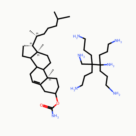 CC(C)CCC[C@@H](C)[C@H]1CCC2C3CC=C4CC(OC(N)=O)CC[C@]4(C)C3CC[C@@]21C.NCCCC(N)(CCCN)C(CN)(CCCN)CCCN